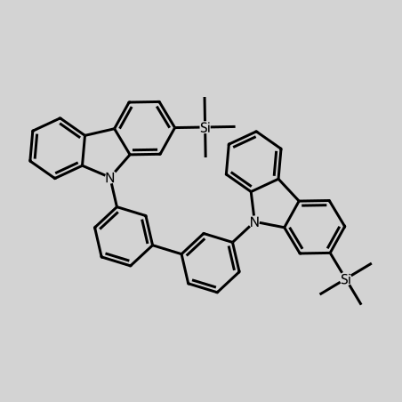 C[Si](C)(C)c1ccc2c3ccccc3n(-c3cccc(-c4cccc(-n5c6ccccc6c6ccc([Si](C)(C)C)cc65)c4)c3)c2c1